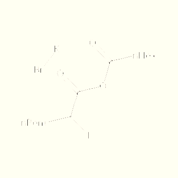 CCCCCCC(=O)OC(=O)C(I)CCCCC.[K][Br]